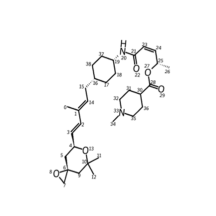 CC(/C=C/[C@@H]1C[C@]2(CO2)CC(C)(C)O1)=C\C[C@H]1CC[C@@H](NC(=O)/C=C\[C@H](C)OC(=O)C2CCN(C)CC2)CC1